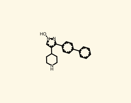 On1cc(C2CCNCC2)c(-c2ccc(-c3ccccc3)cc2)n1